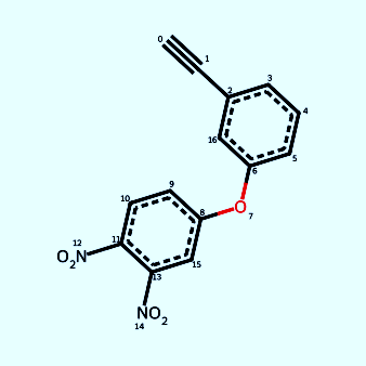 C#Cc1cccc(Oc2ccc([N+](=O)[O-])c([N+](=O)[O-])c2)c1